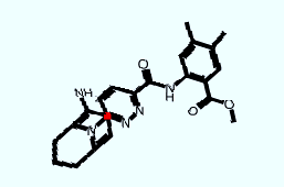 COC(=O)c1cc(C)c(C)cc1NC(=O)c1ccc(N2C3=CCC(N)=C2CCC3)nn1